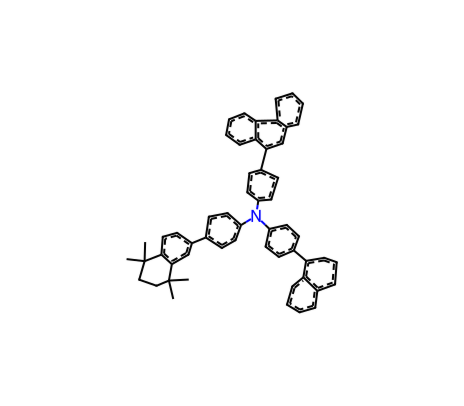 CC1(C)CCC(C)(C)c2cc(-c3ccc(N(c4ccc(-c5cccc6ccccc56)cc4)c4ccc(-c5cc6ccccc6c6ccccc56)cc4)cc3)ccc21